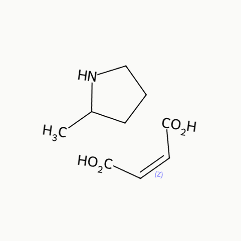 CC1CCCN1.O=C(O)/C=C\C(=O)O